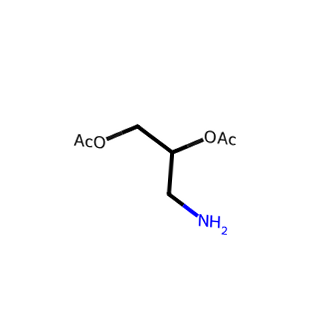 CC(=O)OCC(CN)OC(C)=O